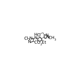 CCOC(=O)c1cnc(Cl)nc1Nc1cccc2c1OCCc1nn(C)cc1-2